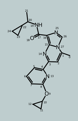 Cc1cc(-c2cccc(OC3CC3)n2)nc2c(C(=O)NC(C)C3CC3)ncn12